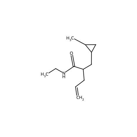 C=CCC(CC1CC1C)C(=O)NCC